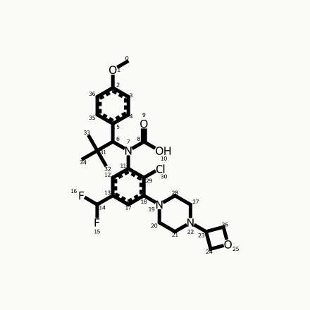 COc1ccc(C(N(C(=O)O)c2cc(C(F)F)cc(N3CCN(C4COC4)CC3)c2Cl)C(C)(C)C)cc1